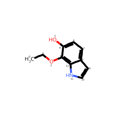 CCOc1c(O)ccc2cc[nH]c12